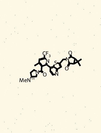 CN[C@H]1CCN(C(=O)c2c(C)cc(C(F)(F)F)nc2-c2ccnc3cc(CN4C(=O)C5C(C4=O)C5(C)C)sc23)C1